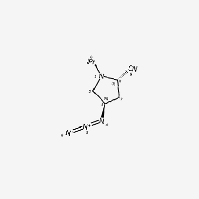 CC(C)N1C[C@H](N=[N+]=[N-])C[C@H]1C#N